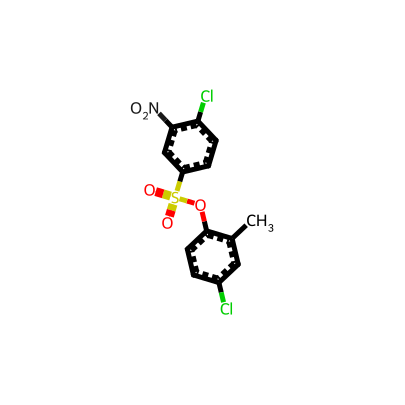 Cc1cc(Cl)ccc1OS(=O)(=O)c1ccc(Cl)c([N+](=O)[O-])c1